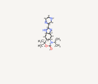 CC(C)N1C(=O)OC(C)(C)c2cc3[nH]c(-c4cnccn4)nc3cc21